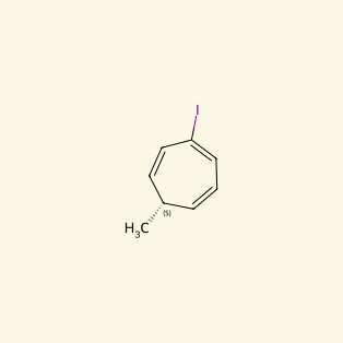 C[C@H]1C=CC=C(I)C=C1